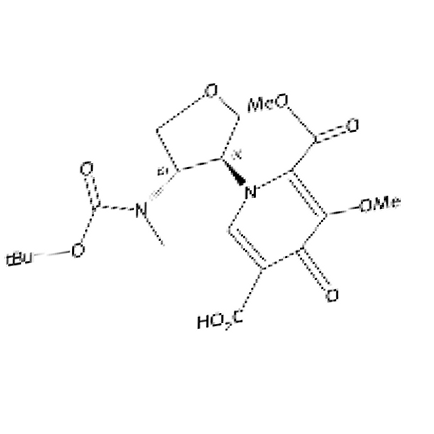 COC(=O)c1c(OC)c(=O)c(C(=O)O)cn1[C@@H]1COC[C@H]1N(C)C(=O)OC(C)(C)C